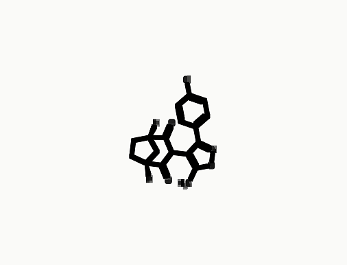 Cc1onc(-c2ccc(Cl)cc2)c1C1C(=O)[C@@H]2CC[C@@H](C2)C1=O